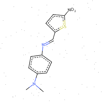 CN(C)c1ccc(N=Cc2ccc([N+](=O)[O-])s2)cc1